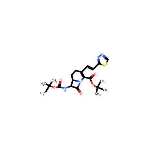 CC(C)(C)OC(=O)NC1C(=O)N2C(C(=O)OC(C)(C)C)=C(C=Cc3nncs3)CCC12